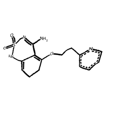 NC1=NS(=O)(=O)NC2=CCCC(OCCc3ccccn3)=C21